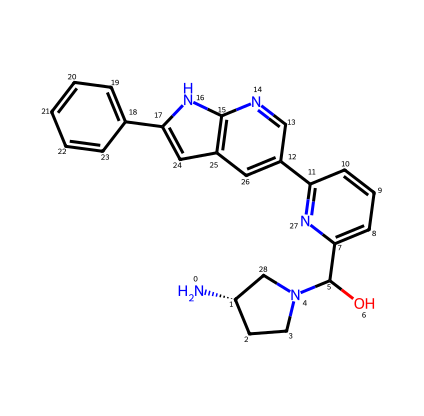 N[C@H]1CCN(C(O)c2cccc(-c3cnc4[nH]c(-c5ccccc5)cc4c3)n2)C1